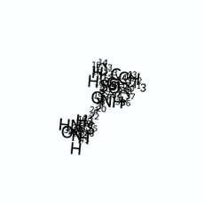 CC(C)(C)[Si](OCC(CSCc1ccccc1)NC(=O)CCCC[C@@H]1SC[C@@H]2NC(=O)N[C@@H]21)(c1ccccc1)c1ccccc1